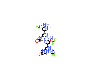 Nc1ncc(-c2cc(N3CC4OC[C@H]43)nc(Nc3ncc(-c4cc(N5CC6OC[C@H]65)nc(N5CCC(F)(F)C5)n4)cc3OC(F)F)n2)cc1OC(F)F